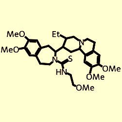 CCC1CN2CCc3cc(OC)c(OC)cc3C2CC1C1Cc2cc(OC)c(OC)cc2CCN1C(=S)NCCOC